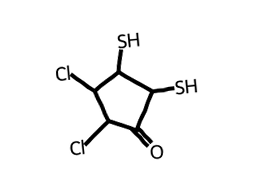 O=C1C(S)C(S)C(Cl)C1Cl